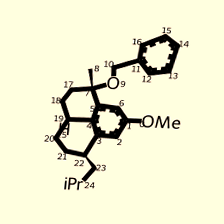 COc1cc2c3c(c1)[C@@](C)(OCc1ccccc1)CC[C@@H]3CC[C@@H]2CC(C)C